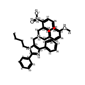 CCCCn1c(-c2ccccc2)nc(-c2ccccc2)c1CN(Cc1ccc(OC)cc1)Cc1ccccc1[N+](=O)[O-]